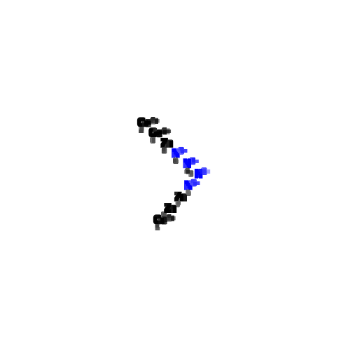 [Ge+4].[Ge+4].[Ge+4].[N-3].[N-3].[N-3].[N-3].[Zn].[Zn].[Zn]